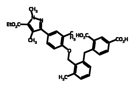 CCOC(=O)c1c(C)c(-c2ccc(OCc3c(C)cccc3Cc3ccc(C(=O)O)cc3C(=O)O)c(C)c2)nn1C